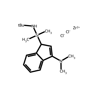 CN(C)C1=CC([Si](C)(C)NC(C)(C)C)c2ccccc21.[Cl-].[Cl-].[Zr+2]